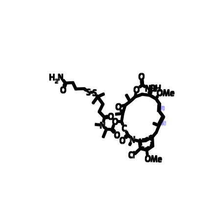 COc1cc2cc(c1Cl)N(C)C(=O)CC(OC(=O)C(C)N(C)C(=O)CCC(C)(C)SSCCCC(N)=O)C1(C)OC1C(C)C1CC(O)(NC(=O)O1)C(OC)/C=C/C=C(\C)C2